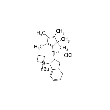 CCCC[Si]1(C2C3=CC=CCC3C[CH]2[Ti+2][C]2=C(C)C(C)=C(C)C2(C)C)CCC1.[Cl-].[Cl-]